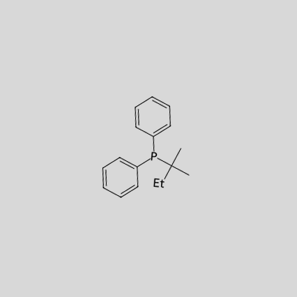 CCC(C)(C)P(c1ccccc1)c1ccccc1